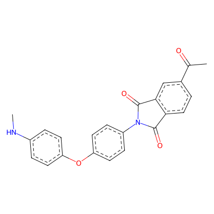 CNc1ccc(Oc2ccc(N3C(=O)c4ccc(C(C)=O)cc4C3=O)cc2)cc1